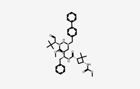 COC(=O)N[C@@H]1C[C@H](C(=O)N[C@@H](Cc2ccccc2)[C@@H](O)CN(Cc2ccc(-c3ccccc3)cc2)NN(C(=O)OC)[C@H](C=O)C(C)(C)C)C1(C)C